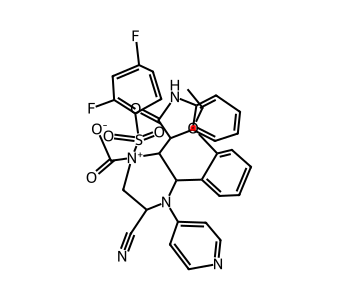 CCOc1ccccc1C1C(C2C(=O)Nc3ccccc32)[N+](C(=O)[O-])(S(=O)(=O)c2ccc(F)cc2F)CC(C#N)N1c1ccncc1